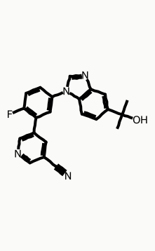 CC(C)(O)c1ccc2c(c1)ncn2-c1ccc(F)c(-c2cncc(C#N)c2)c1